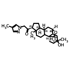 Cc1cnn(CC(=O)[C@H]2CC[C@H]3[C@@H]4C[C@H]5O[C@H](C)[C@@]6(CC[C@@](C)(O)CC56)C4CC[C@]23C)c1